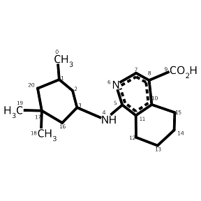 CC1CC(Nc2ncc(C(=O)O)c3c2CCCC3)CC(C)(C)C1